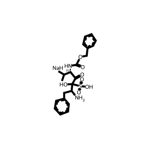 CC(C)[C@H](NC(=O)OCc1ccccc1)C(=O)C(O)(C(N)Cc1ccccc1)S(=O)(=O)O.[NaH]